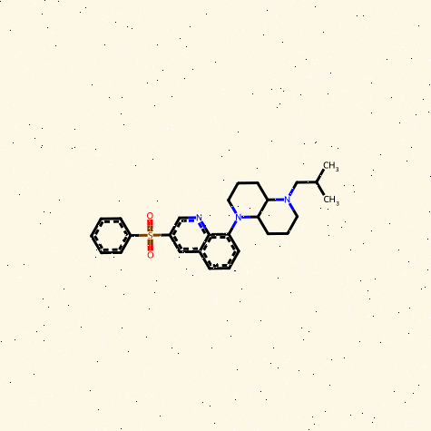 C[C](C)CN1CCCC2C1CCCN2c1cccc2cc(S(=O)(=O)c3ccccc3)cnc12